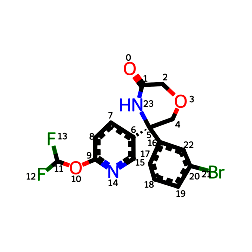 O=C1COC[C@@](c2ccc(OC(F)F)nc2)(c2cccc(Br)c2)N1